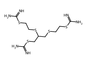 N=C(N)SCCSCC(CSC(=N)N)SCCSC(=N)N